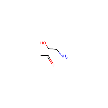 CC=O.NCCO